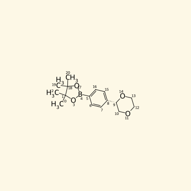 CC1(C)OB(c2ccc([C@H]3COCCO3)cc2)OC1(C)C